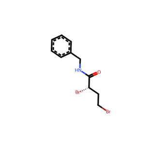 O=C(NCc1ccccc1)[C@@H](Br)CCBr